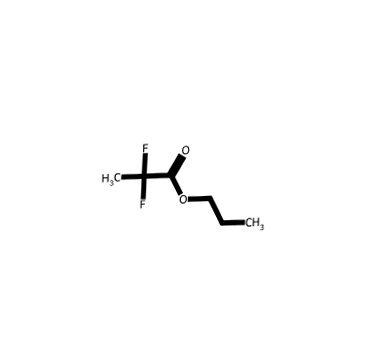 CCCOC(=O)C(C)(F)F